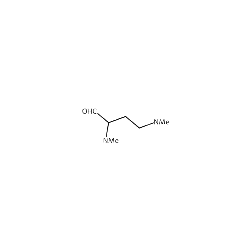 CNCCC(C=O)NC